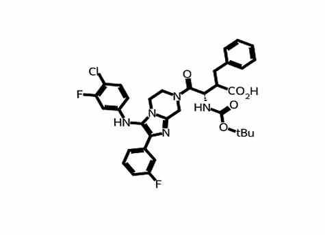 CC(C)(C)OC(=O)N[C@H](C(=O)N1CCn2c(nc(-c3cccc(F)c3)c2Nc2ccc(Cl)c(F)c2)C1)C(Cc1ccccc1)C(=O)O